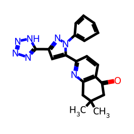 CC1(C)CC(=O)c2ccc(-c3cc(-c4nnn[nH]4)nn3-c3ccccc3)nc2C1